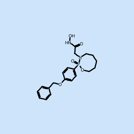 O=C(CN1CCCCCOP1(=O)c1ccc(OCc2ccccc2)cc1)NO